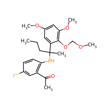 CCCC(C)(Pc1ccc(F)cc1C(C)=O)c1cc(OC)cc(OC)c1OCOC